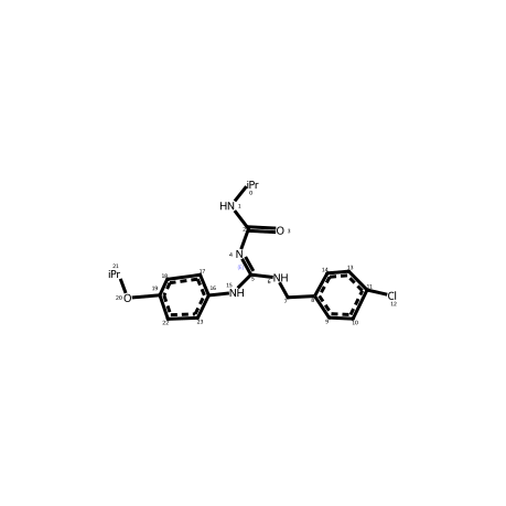 CC(C)NC(=O)/N=C(\NCc1ccc(Cl)cc1)Nc1ccc(OC(C)C)cc1